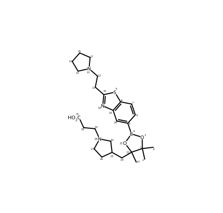 CC1(C)OB(c2ccc3sc(CCN4CCCC4)nc3c2)OC1(C)CC1CCN(CCC(=O)O)C1